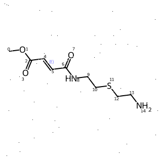 COC(=O)/C=C/C(=O)NCCSCCN